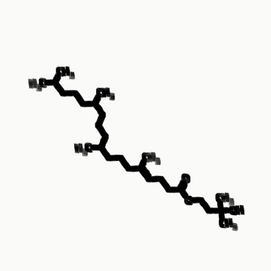 C/C(=C\CCC(=O)OCCC(C)(C)O)CCCC(C)CCCC(C)CCCC(C)C